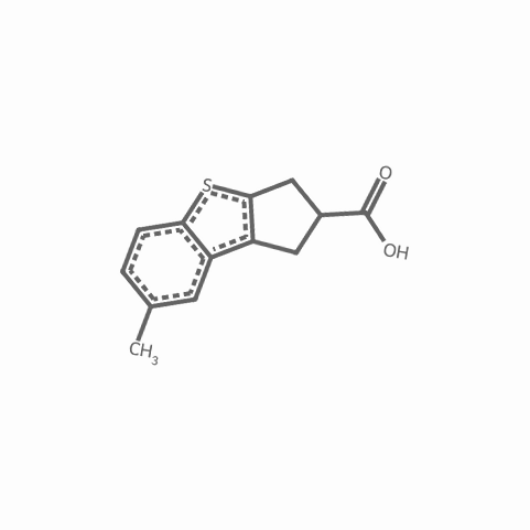 Cc1ccc2sc3c(c2c1)CC(C(=O)O)C3